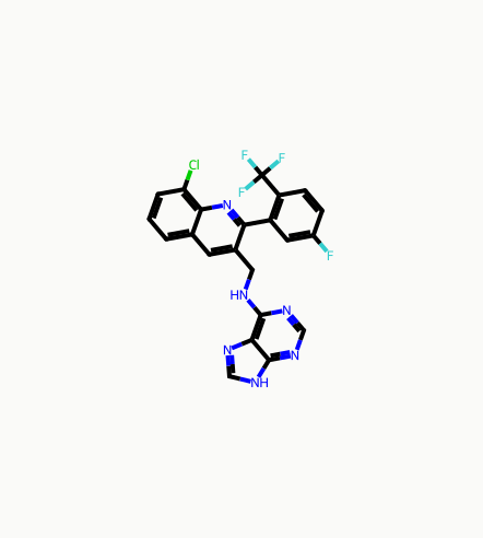 Fc1ccc(C(F)(F)F)c(-c2nc3c(Cl)cccc3cc2CNc2ncnc3[nH]cnc23)c1